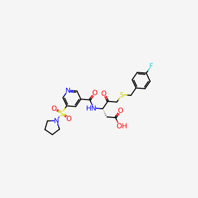 O=C(O)C[C@H](NC(=O)c1cncc(S(=O)(=O)N2CCCC2)c1)C(=O)CSCc1ccc(F)cc1